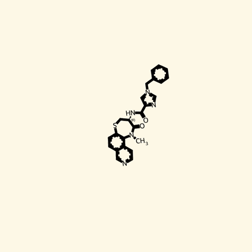 CN1C(=O)[C@@H](NC(=O)c2cn(Cc3ccccc3)cn2)CSc2ccc3cnccc3c21